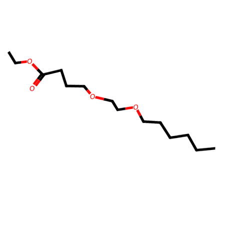 CCCCCCOCCOCCCC(=O)OCC